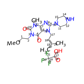 COCCn1c(=O)c2c(nc(N3CCNCC3)n2CC=C(C)C)n(C)c1=O.O=C(O)C(F)(F)F